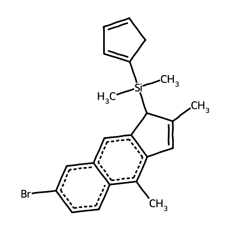 CC1=Cc2c(cc3cc(Br)ccc3c2C)C1[Si](C)(C)C1=CC=CC1